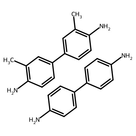 Cc1cc(-c2ccc(N)c(C)c2)ccc1N.Nc1ccc(-c2ccc(N)cc2)cc1